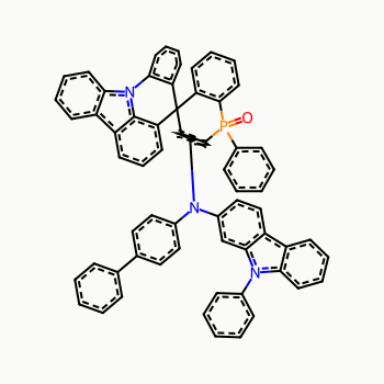 O=P1(c2ccccc2)c2ccccc2C2(c3ccccc3-n3c4ccccc4c4cccc2c43)c2ccc(N(c3ccc(-c4ccccc4)cc3)c3ccc4c5ccccc5n(-c5ccccc5)c4c3)cc21